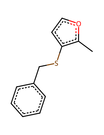 Cc1occc1SCc1ccccc1